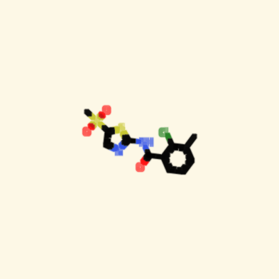 Cc1cccc(C(=O)Nc2ncc(S(C)(=O)=O)s2)c1Cl